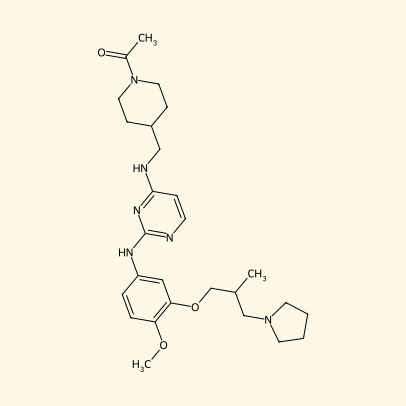 COc1ccc(Nc2nccc(NCC3CCN(C(C)=O)CC3)n2)cc1OCC(C)CN1CCCC1